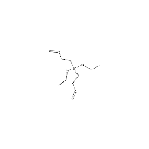 C=CCC[Si](CCC=C)(OCC)OCC